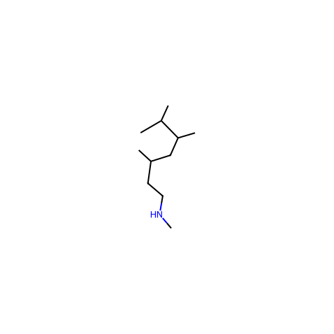 CNCCC(C)CC(C)C(C)C